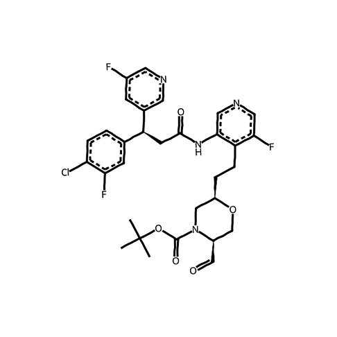 CC(C)(C)OC(=O)N1C[C@@H](CCc2c(F)cncc2NC(=O)C[C@H](c2cncc(F)c2)c2ccc(Cl)c(F)c2)OC[C@H]1C=O